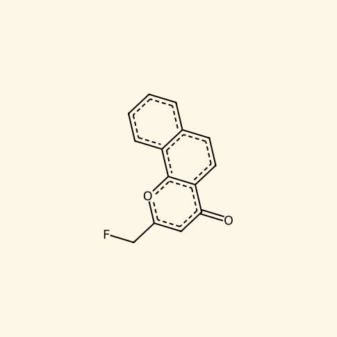 O=c1cc(CF)oc2c1ccc1ccccc12